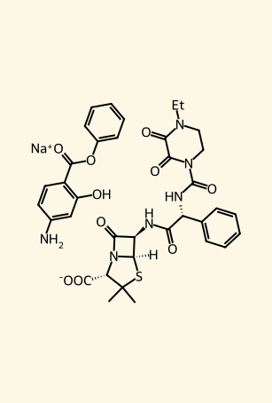 CCN1CCN(C(=O)N[C@@H](C(=O)N[C@@H]2C(=O)N3[C@@H]2SC(C)(C)[C@@H]3C(=O)[O-])c2ccccc2)C(=O)C1=O.Nc1ccc(C(=O)Oc2ccccc2)c(O)c1.[Na+]